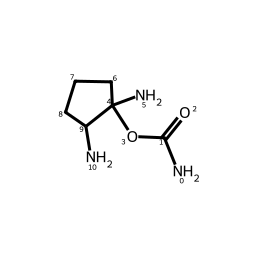 NC(=O)OC1(N)CCCC1N